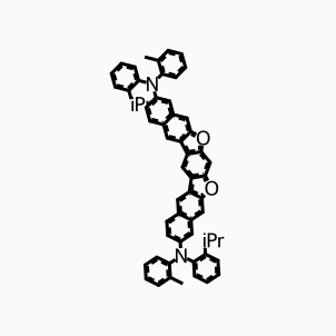 Cc1ccccc1N(c1ccc2cc3c(cc2c1)oc1cc2oc4cc5cc(N(c6ccccc6C)c6ccccc6C(C)C)ccc5cc4c2cc13)c1ccccc1C(C)C